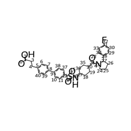 O=C(O)CCc1ccc(-c2ccc(S(=O)(=O)NC3CCC(C(=O)N4CCCC4c4ccc(F)cc4)CC3)cc2)cc1